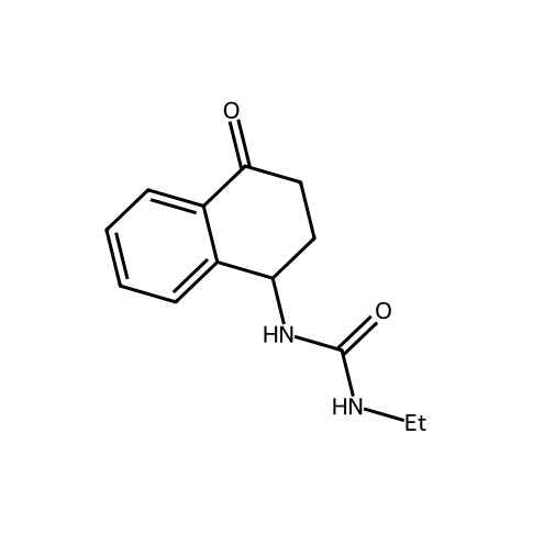 CCNC(=O)NC1CCC(=O)c2ccccc21